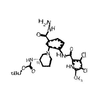 Cc1[nH]c(C(=O)Nc2ccc(C(=O)NN)cc2N2CCC[C@H](NC(=O)OC(C)(C)C)C2)c(Cl)c1Cl